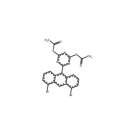 CC(=O)Sc1nc(SC(C)=O)nc(-c2c3cccc(Br)c3cc3c(Br)cccc23)n1